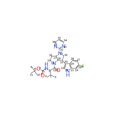 CC(C)C(NC(=O)OC(C)(C)C)C(=O)N1CCC2C1C(c1c[nH]c3cc(F)ccc13)CN2c1ncccn1